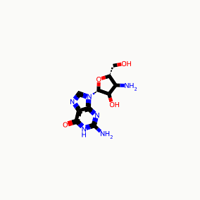 Nc1nc2c(ncn2[C@@H]2O[C@H](CO)C(N)C2O)c(=O)[nH]1